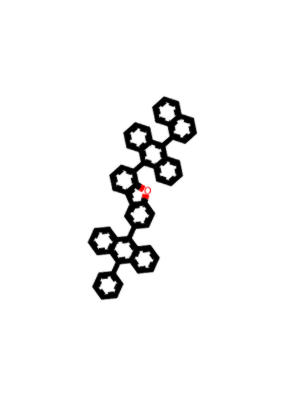 c1ccc(-c2c3ccccc3c(-c3ccc4oc5c(-c6c7ccccc7c(-c7cccc8ccccc78)c7ccccc67)cccc5c4c3)c3ccccc23)cc1